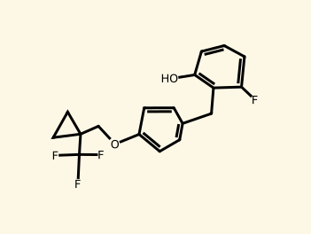 Oc1cccc(F)c1Cc1ccc(OCC2(C(F)(F)F)CC2)cc1